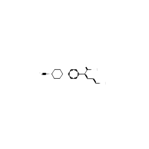 CC=CC=C(C(=O)O)c1ccc([C@H]2CC[C@H](C#N)CC2)cc1